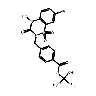 CN1C(=O)N(Cc2ccc(C(=O)OC(C)(C)C)cc2)S(=O)(=O)c2cc(Br)ccc21